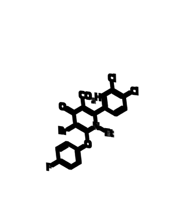 CCn1c(Oc2ccc(F)cc2)c(Br)c(=O)c(C(=O)O)c1-c1ccc(Cl)c(Cl)c1